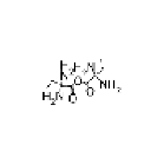 CCC(N)(N)C(=O)OC(=O)C(N)(N)CC